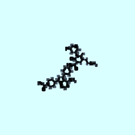 Cc1c(CCN)cc(C(=O)Nc2ccc(-c3cc(C4CCN(C(=O)C(C)C)CC4)n4ncnc(N)c34)cc2)c(=O)n1-c1cncc(F)c1